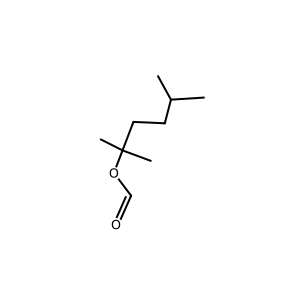 CC(C)CCC(C)(C)OC=O